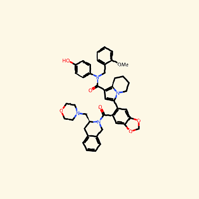 COc1ccccc1CN(C(=O)c1cc(-c2cc3c(cc2C(=O)N2Cc4ccccc4C[C@H]2CN2CCOCC2)OCO3)n2c1CCCC2)c1ccc(O)cc1